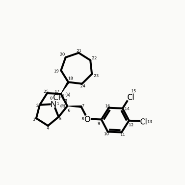 CN1C2CCC1[C@H](COc1ccc(Cl)c(Cl)c1)[C@H](C1CCCCCC1)C2